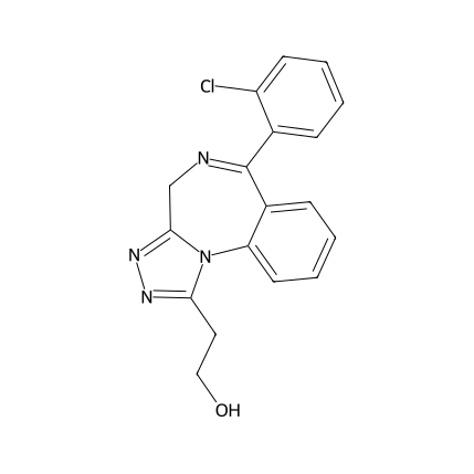 OCCc1nnc2n1-c1ccccc1C(c1ccccc1Cl)=NC2